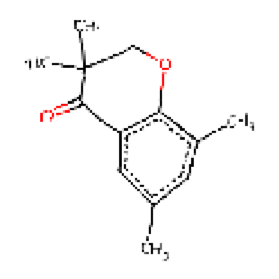 [CH]C1([CH])COc2c(C)cc(C)cc2C1=O